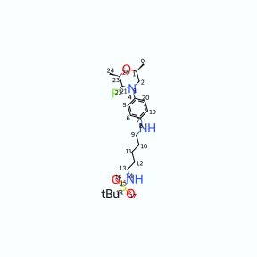 C[C@H]1CN(c2ccc(NCCCCCNS(=O)(=O)C(C)(C)C)cc2)C(F)[C@@H](C)O1